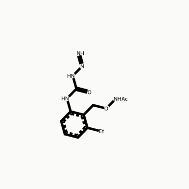 CCc1cccc(NC(=O)NN=N)c1CONC(C)=O